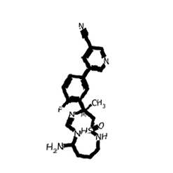 C[C@@]1(c2cc(-c3cncc(C#N)c3)ccc2F)C[SH]2(=O)NCCCC(N)N2C=N1